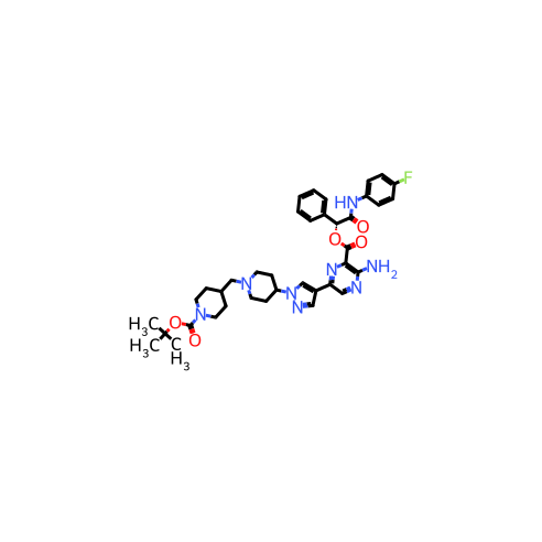 CC(C)(C)OC(=O)N1CCC(CN2CCC(n3cc(-c4cnc(N)c(C(=O)O[C@@H](C(=O)Nc5ccc(F)cc5)c5ccccc5)n4)cn3)CC2)CC1